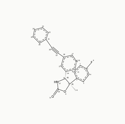 C[C@]1(c2ccc(F)cc2)OC(=O)N[C@@H]1c1cncc(C#Cc2ccccc2)c1